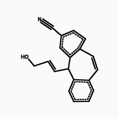 N#Cc1ccc2c(c1)C(C=CCO)c1ccccc1C=C2